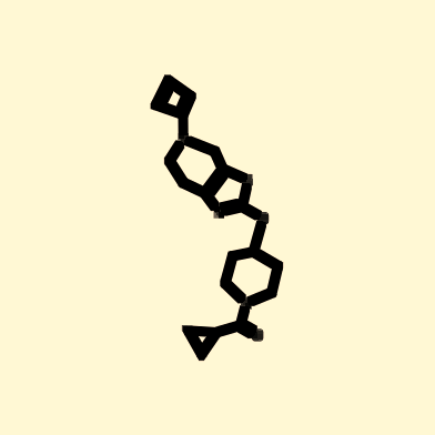 O=C(C1CC1)N1CCC(Oc2nc3c(s2)CN(C2=CC=C2)CC3)CC1